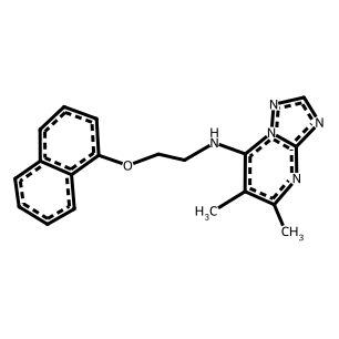 Cc1nc2ncnn2c(NCCOc2cccc3ccccc23)c1C